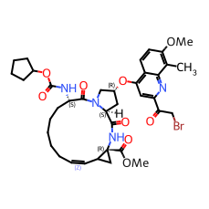 COC(=O)[C@@]12CC1/C=C\CCCCC[C@H](NC(=O)OC1CCCC1)C(=O)N1C[C@H](Oc3cc(C(=O)CBr)nc4c(C)c(OC)ccc34)C[C@H]1C(=O)N2